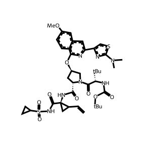 C=CC1C[C@]1(NC(=O)[C@@H]1C[C@@H](Oc2nc(-c3csc(N(C)C)n3)cc3cc(OC)ccc23)CN1C(=O)[C@@H](NC(=O)OC(C)(C)C)C(C)(C)C)C(=O)NS(=O)(=O)C1CC1